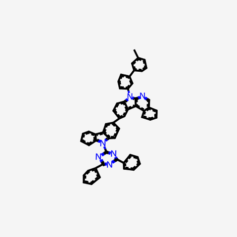 Cc1cccc(-c2cccc(-n3c4ccc(-c5ccc6c(c5)c5ccccc5n6-c5nc(-c6ccccc6)nc(-c6ccccc6)n5)cc4c4c5ccccc5cnc43)c2)c1